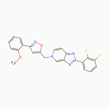 Fc1cccc(-c2nc3ccn(Cc4cc(-c5ccccc5OC(F)(F)F)no4)cc-3n2)c1F